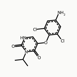 CC(C)n1c(=O)[nH]cc(Oc2c(Cl)cc(N)cc2Cl)c1=O